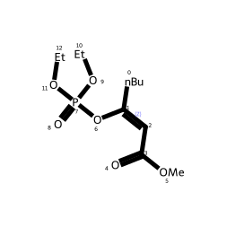 CCCC/C(=C/C(=O)OC)OP(=O)(OCC)OCC